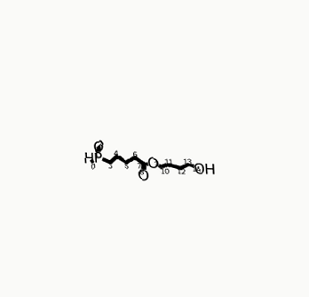 C[PH](=O)CCCCC(=O)OCCCCO